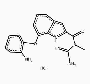 CN(C(=N)N)C(=O)c1cc2cccc(Oc3ccccc3N)c2[nH]1.Cl